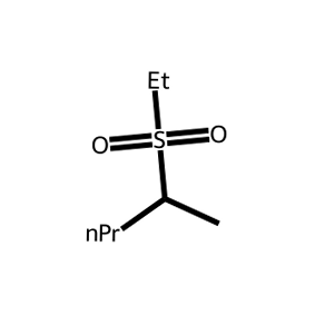 [CH2]CCC(C)S(=O)(=O)CC